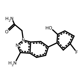 NC(=O)Cn1nc(N)c2ccc(-c3cc(F)ccc3O)cc21